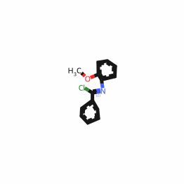 COc1ccccc1/N=C(\Cl)c1ccccc1